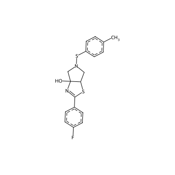 Cc1ccc(SN2CC3SC(c4ccc(F)cc4)=NC3(O)C2)cc1